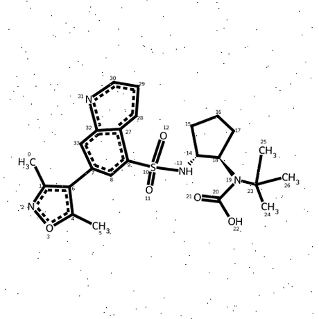 Cc1noc(C)c1-c1cc(S(=O)(=O)N[C@@H]2CCC[C@H]2N(C(=O)O)C(C)(C)C)c2cccnc2c1